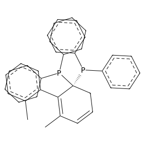 CC1=C(c2ccccc2C)[C@@](P(c2ccccc2)c2ccccc2)(P(C2CCCCC2)C2CCCCC2)CC=C1